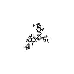 COc1cc(-c2nc(Cc3ccc4[nH]ncc4c3Cl)n(C(C)C)n2)ccc1C(=O)NCC(F)(F)F